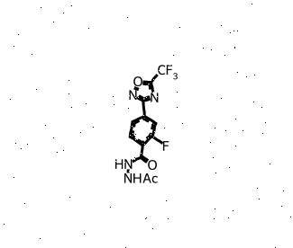 CC(=O)NNC(=O)c1ccc(-c2noc(C(F)(F)F)n2)cc1F